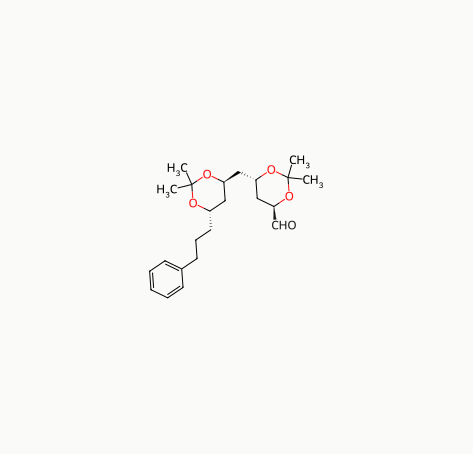 CC1(C)O[C@@H](C[C@H]2C[C@H](C=O)OC(C)(C)O2)C[C@H](CCCc2ccccc2)O1